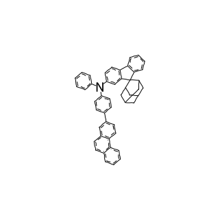 c1ccc(N(c2ccc(-c3ccc4c(ccc5ccccc54)c3)cc2)c2ccc3c(c2)C2(c4ccccc4-3)C3CC4CC(C3)CC2C4)cc1